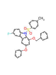 Cc1ccc(S(=O)(=O)n2c3ccc(F)cc3c3cc(Oc4ccccc4)cc(OCc4ccccc4)c32)cc1